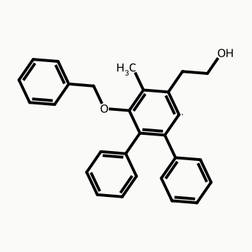 Cc1c(CCO)[c]c(-c2ccccc2)c(-c2ccccc2)c1OCc1ccccc1